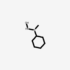 CN(NO)C1CCCCC1